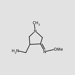 CO/N=C1\CN(C)CC1CN